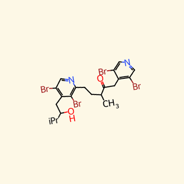 CC(CCc1ncc(Br)c(CC(O)C(C)C)c1Br)C(=O)Cc1c(Br)cncc1Br